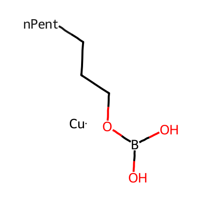 CCCCCCCCOB(O)O.[Cu]